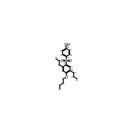 CCCCOc1cc(CCC)c(S(=O)(=O)c2ccc(O)cc2)cc1CCC